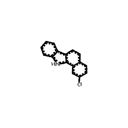 Clc1ccc2ccc3c4ccccc4[nH]c3c2c1